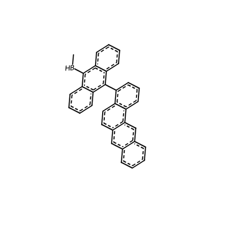 CBc1c2ccccc2c(-c2cccc3c2ccc2cc4ccccc4cc23)c2ccccc12